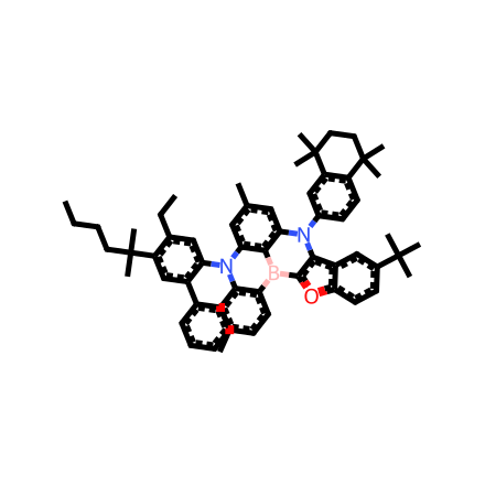 CCCCC(C)(C)c1cc(-c2ccccc2)c(N2c3cc(C)ccc3B3c4oc5ccc(C(C)(C)C)cc5c4N(c4ccc5c(c4)C(C)(C)CCC5(C)C)c4cc(C)cc2c43)cc1CC